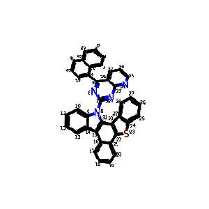 c1ccc2c(-c3nc(-n4c5ccccc5c5c6ccccc6c6sc7ccccc7c6c54)nc4ncccc34)cccc2c1